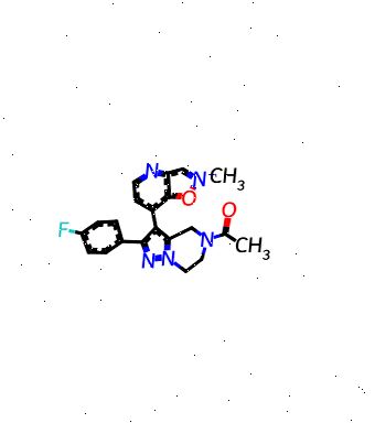 CC(=O)N1CCn2nc(-c3ccc(F)cc3)c(-c3ccnc4c[n+](C)oc34)c2C1